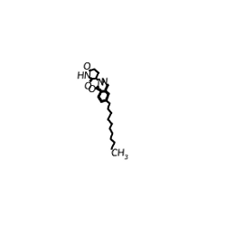 CCCCCCCCCCCc1ccc2c(=O)n(C3CCC(=O)NC3=O)ncc2c1